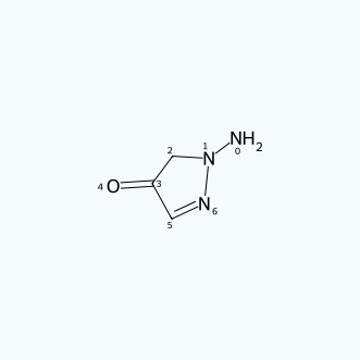 NN1CC(=O)C=N1